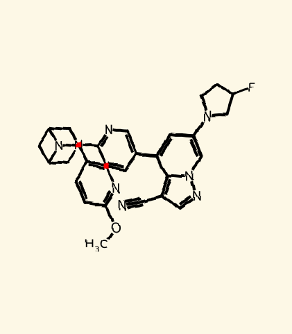 COc1ccc(CN2C3CC2CN(c2ccc(-c4cc(N5CCC(F)C5)cn5ncc(C#N)c45)cn2)C3)cn1